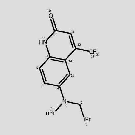 CCCN(CC(C)C)c1ccc2[nH]c(=O)cc(C(F)(F)F)c2c1